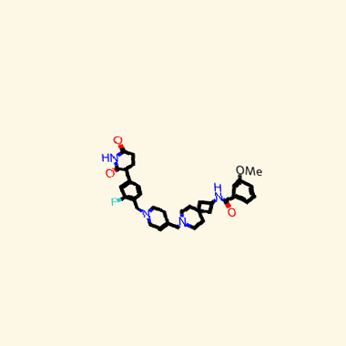 COc1cccc(C(=O)NC2CC3(CCN(CC4CCN(Cc5ccc(C6CCC(=O)NC6=O)cc5F)CC4)CC3)C2)c1